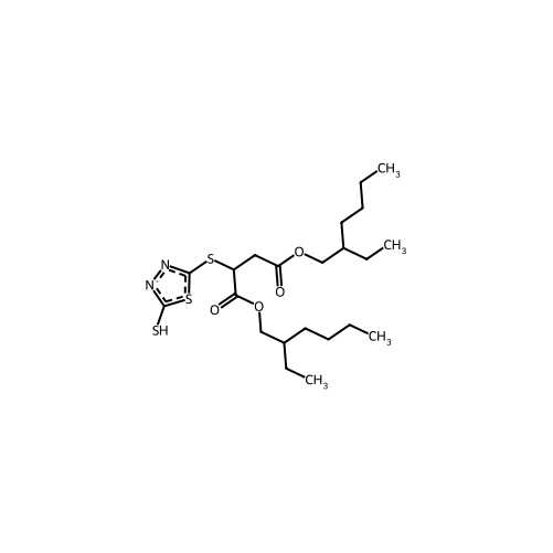 CCCCC(CC)COC(=O)CC(Sc1nnc(S)s1)C(=O)OCC(CC)CCCC